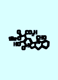 CC(C)(C)OC(=O)C(C(=O)O)c1cc2n(c(=O)c1CO)CC1Cc3ccccc3N(C=O)C21